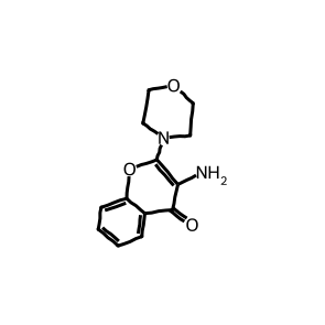 Nc1c(N2CCOCC2)oc2ccccc2c1=O